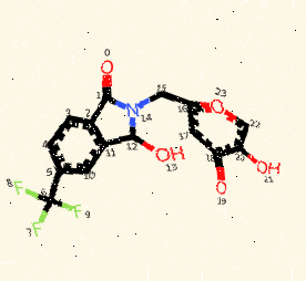 O=C1c2ccc(C(F)(F)F)cc2C(O)N1Cc1cc(=O)c(O)co1